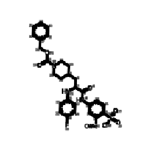 COc1cc(NC(=O)[C@H](CC2CCN(C(=O)OCc3ccccc3)CC2)Nc2ccc(F)cc2)ccc1S(=O)(=O)Cl